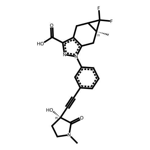 CN1CC[C@@](O)(C#Cc2cccc(-n3nc(C(=O)O)c4c3C[C@@]3(C)C(C4)C3(F)F)c2)C1=O